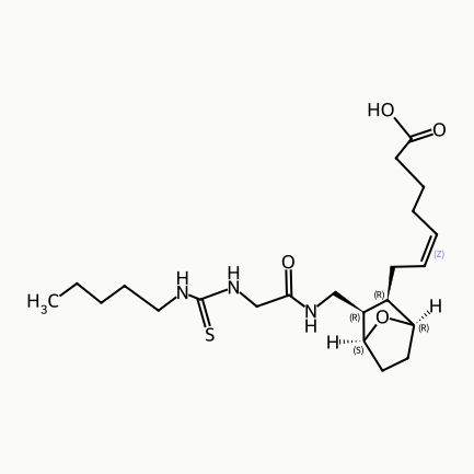 CCCCCNC(=S)NCC(=O)NC[C@H]1[C@@H](C/C=C\CCCC(=O)O)[C@H]2CC[C@@H]1O2